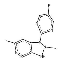 Cc1cc2c(cn1)NN(C)N2c1ncc(F)cn1